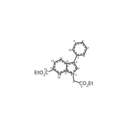 CCOC(=O)Cn1cc(-c2ccccc2)c2ccc(C(=O)OCC)nc21